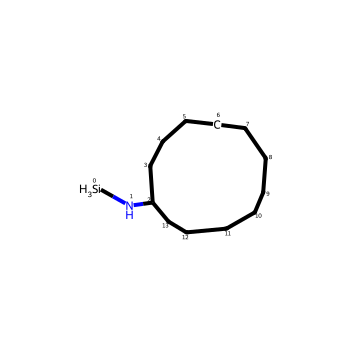 [SiH3]NC1CCCCCCCCCCC1